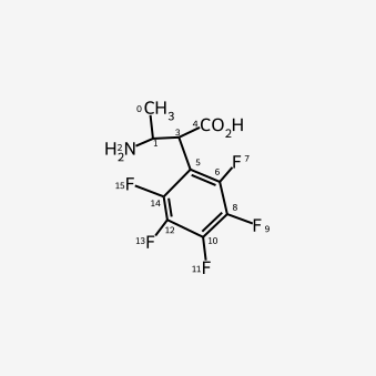 CC(N)C(C(=O)O)c1c(F)c(F)c(F)c(F)c1F